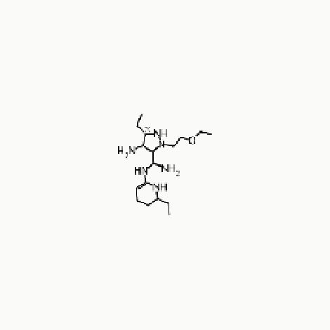 CCOCCN1N[C@H](CC)C(N)C1C(N)NC1=CCCC(CC)N1